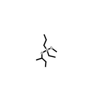 CCC[Si](CC)(OC)OC(C)CC